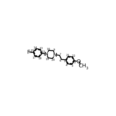 COc1ccc(CCN2CCN(c3ccc(F)cc3)CC2)cc1